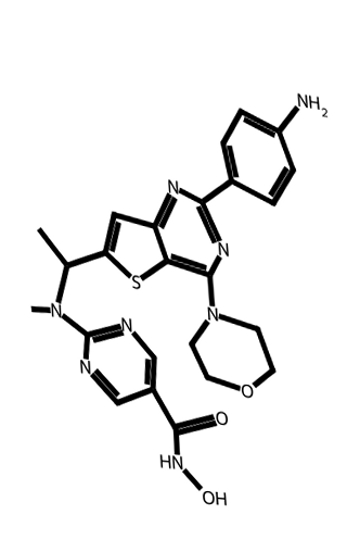 CC(c1cc2nc(-c3ccc(N)cc3)nc(N3CCOCC3)c2s1)N(C)c1ncc(C(=O)NO)cn1